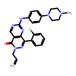 C=CCn1nc(-c2ccccc2F)c2nc(Nc3ccc(N4CCN(C)CC4)cc3)ncc2c1=O